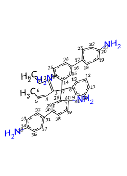 C=C/C=C(\C=C/C)C(c1ccccc1)(c1cc(-c2ccc(N)cc2)ccc1N)c1cc(-c2ccc(N)cc2)ccc1N